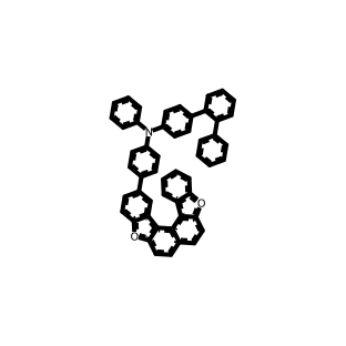 c1ccc(-c2ccccc2-c2ccc(N(c3ccccc3)c3ccc(-c4ccc5oc6ccc7ccc8oc9ccccc9c8c7c6c5c4)cc3)cc2)cc1